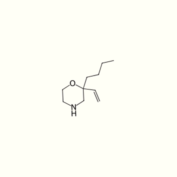 C=CC1(CCCC)CNCCO1